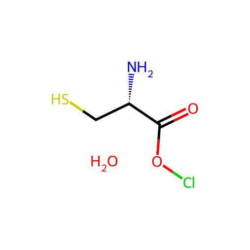 N[C@@H](CS)C(=O)OCl.O